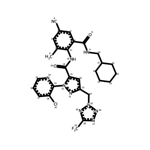 Cc1cc(C#N)cc(C(=O)NCC2CCCCC2)c1NC(=O)c1cc(Cn2nnc(C(F)(F)F)n2)nn1-c1ncccc1Cl